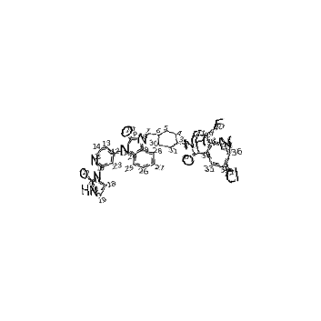 O=C(NC1CCC(Cn2c(=O)n(-c3ccnc(-n4cc[nH]c4=O)c3)c3ccccc32)CC1)c1cc(Cl)cnc1C(F)F